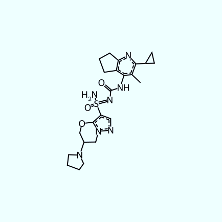 Cc1c(C2CC2)nc2c(c1NC(=O)N=S(N)(=O)c1cnn3c1OCC(N1CCCC1)C3)CCC2